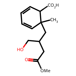 COC(=O)CC(CO)CC1(C)C=CC=CC1C(=O)O